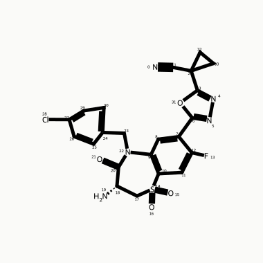 N#CC1(c2nnc(-c3cc4c(cc3F)S(=O)(=O)C[C@H](N)C(=O)N4Cc3ccc(Cl)cc3)o2)CC1